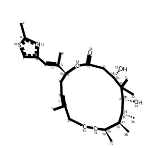 C/C1=C/C[C@@H](/C(C)=C/c2csc(C)n2)OC(=O)C[C@H](O)C(C)(C)[C@H](O)[C@H](C)[C@@H](C)[C@@H](C)CCC1